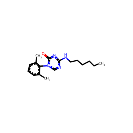 CCCCCCNc1ncn(-c2c(C)cccc2C)c(=O)n1